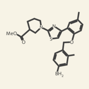 Bc1ccc(COc2ccc(C)cc2-c2csc(N3CCCC(C(=O)OC)C3)n2)c(C)c1